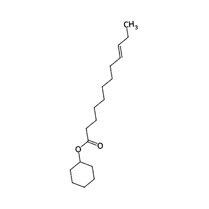 CCC=CCCCCCCCC(=O)OC1CCCCC1